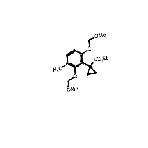 CCOC(=O)C1(c2c(OCOC)ccc(C)c2OCOC)CC1